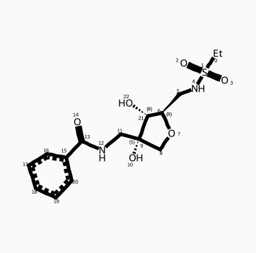 CCS(=O)(=O)NC[C@H]1OC[C@@](O)(CNC(=O)c2ccccc2)[C@@H]1O